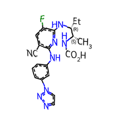 CC[C@@H](Nc1nc(Nc2cccc(-n3ccnn3)c2)c(C#N)cc1F)[C@H](C)NC(=O)O